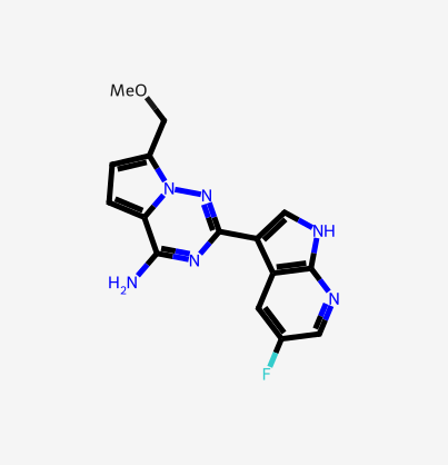 COCc1ccc2c(N)nc(-c3c[nH]c4ncc(F)cc34)nn12